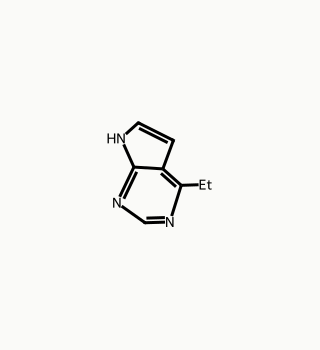 CCc1ncnc2[nH]ccc12